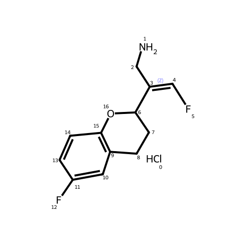 Cl.NC/C(=C/F)C1CCc2cc(F)ccc2O1